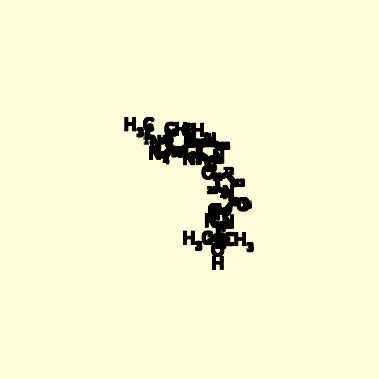 CCn1ncc(-c2nc3c(OC4CCN(C(=O)c5nc(C(C)(C)O)no5)C4)ncnc3n2C)c1C